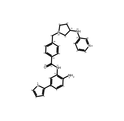 Nc1ccc(-c2cccs2)cc1NC(=O)c1ccc(CN2CCC(Nc3cccnc3)C2)cc1